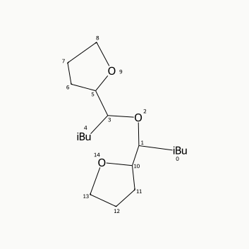 CCC(C)C(OC(C(C)CC)C1CCCO1)C1CCCO1